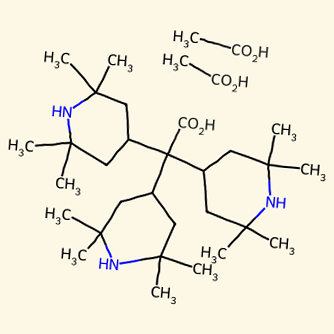 CC(=O)O.CC(=O)O.CC1(C)CC(C(C(=O)O)(C2CC(C)(C)NC(C)(C)C2)C2CC(C)(C)NC(C)(C)C2)CC(C)(C)N1